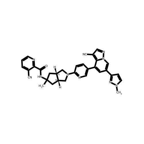 Cn1ccc(-c2cc(-c3ccc(N4C[C@@H]5CC(C)(NC(=O)c6ncccc6C#N)C[C@@H]5C4)nc3)c3c(C#N)cnn3c2)n1